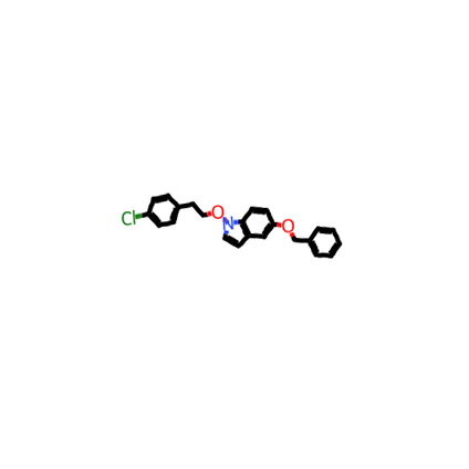 Clc1ccc(CCOn2ccc3cc(OCc4ccccc4)ccc32)cc1